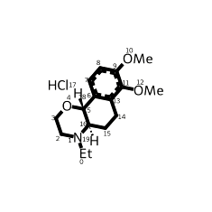 CCN1CCO[C@@H]2c3ccc(OC)c(OC)c3CC[C@H]21.Cl